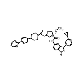 COC[C@@]1(C(=O)Nc2ccc3[nH]nc(-c4ccnc(C5CC5)c4)c3c2)CCN(CC(=O)N2CCC(c3ccc(-c4ncccn4)cc3)CC2)C1